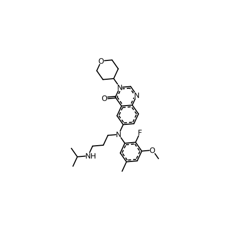 COc1cc(C)cc(N(CCCNC(C)C)c2ccc3ncn(C4CCOCC4)c(=O)c3c2)c1F